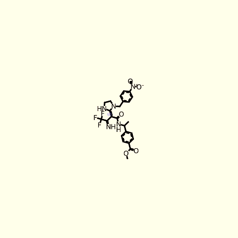 COC(=O)c1ccc(C(C)NC(=O)/C(C(=N)C(F)(F)F)=C2/NCCN2Cc2ccc([N+](=O)[O-])cc2)cc1